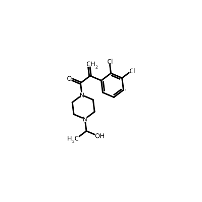 C=C(C(=O)N1CCN(C(C)O)CC1)c1cc[c]c(Cl)c1Cl